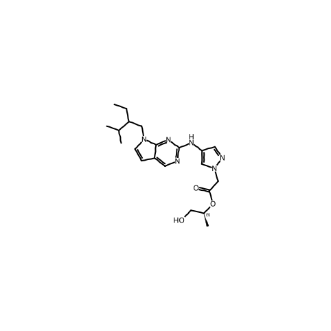 CCC(Cn1ccc2cnc(Nc3cnn(CC(=O)O[C@@H](C)CO)c3)nc21)C(C)C